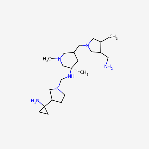 CC1CN(CC2CN(C)C[C@](C)(NCN3CCC(C4(N)CC4)C3)C2)CC1CN